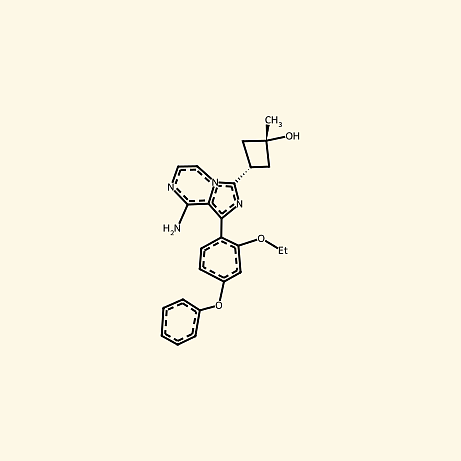 CCOc1cc(Oc2ccccc2)ccc1-c1nc([C@H]2C[C@@](C)(O)C2)n2ccnc(N)c12